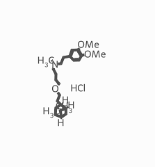 COc1ccc(CCN(C)CCCCOCC[C@@H]2CC[C@H]3C[C@@H]2C3(C)C)cc1OC.Cl